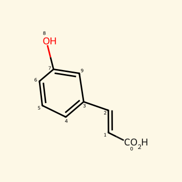 O=C(O)C=Cc1cccc(O)c1